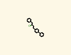 ClC(C=Cc1ccc(-c2ccccc2)cc1)=Cc1ccccc1